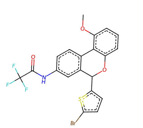 COc1cccc2c1-c1ccc(NC(=O)C(F)(F)F)cc1C(c1ccc(Br)s1)O2